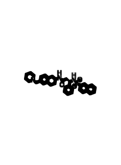 O=C(C[C@@H](NS(=O)(=O)c1ccc2ccccc2c1)c1ccccc1)NC1CCc2cc(CN3CCCCC3)ccc2C1